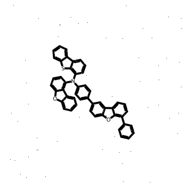 c1ccc(-c2cccc3c2oc2ccc(-c4ccc(N(c5cccc6c5sc5ccccc56)c5cccc6oc7ccccc7c56)cc4)cc23)cc1